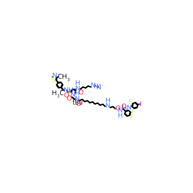 Cc1ncsc1-c1ccc([C@H](C)NC(=O)[C@@H]2C[C@@H](NC(=O)CCCCN=[N+]=[N-])CN2C(=O)[C@@H](NC(=O)CCCCCCCCCCNCCCONC(=O)c2ccc(F)c(F)c2Nc2ccc(I)cc2F)C(C)(C)C)cc1